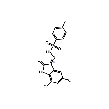 Cc1ccc(S(=O)(=O)N/N=C2\C(=O)Nc3c(Cl)cc(Cl)cc32)cc1